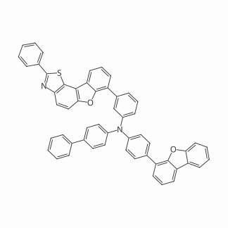 c1ccc(-c2ccc(N(c3ccc(-c4cccc5c4oc4ccccc45)cc3)c3cccc(-c4cccc5c4oc4ccc6nc(-c7ccccc7)sc6c45)c3)cc2)cc1